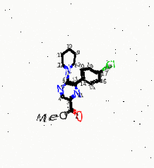 COC(=O)c1cnc(N2CCCCC2)c(-c2ccc(Cl)cc2)n1